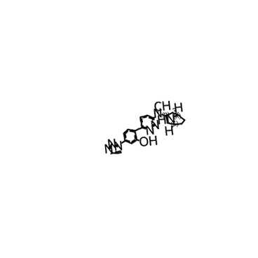 CN(c1ccc(-c2ccc(-n3ccnn3)cc2O)nn1)[C@H]1C[C@H]2CC[C@@H](C1)N2